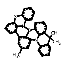 Cc1cc2c3c(c1)N1c4ccccc4C(C)(C)c4cccc(c41)B3N1c3ccccc3Sc3cccc-2c31